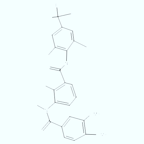 COc1ccc(C(=O)N(C)c2cccc(C(=O)Nc3c(C)cc(C(F)(C(F)(F)F)C(F)(F)F)cc3C(F)(F)F)c2F)cc1OC